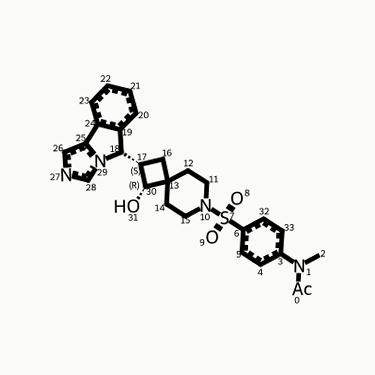 CC(=O)N(C)c1ccc(S(=O)(=O)N2CCC3(CC2)C[C@@H](C2c4ccccc4-c4cncn42)[C@H]3O)cc1